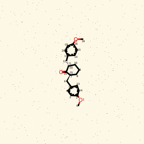 COc1ccc(C[C@@H]2CCC[C@@H](Cc3ccc(OC)cc3)C2=O)cc1